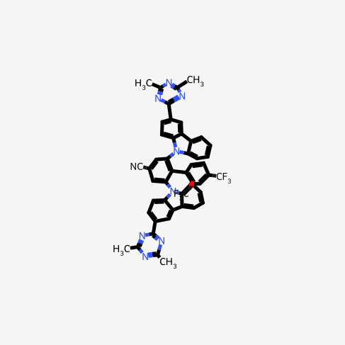 Cc1nc(C)nc(-c2ccc3c(c2)c2ccccc2n3-c2cc(C#N)cc(-n3c4ccccc4c4cc(-c5nc(C)nc(C)n5)ccc43)c2-c2ccc(C(F)(F)F)cc2C(F)(F)F)n1